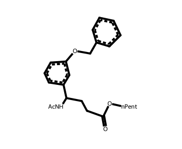 CCCCCOC(=O)CCC(NC(C)=O)c1cccc(OCc2ccccc2)c1